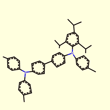 Cc1ccc(N(c2ccc(C)cc2)c2ccc(-c3ccc(N(c4ccc(C)cc4)c4c(C(C)C)cc(C(C)C)cc4C(C)C)cc3)cc2)cc1